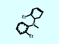 CCC1=CC=CCC1N(C)c1ccccc1CC